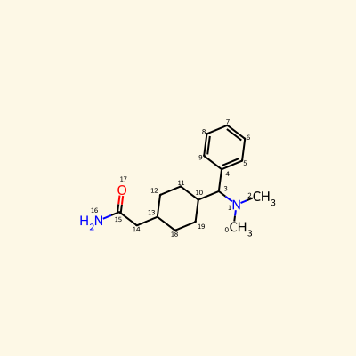 CN(C)C(c1ccccc1)C1CCC(CC(N)=O)CC1